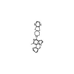 Cc1nc(N2CCC3(CC2)Cc2nccnc2C3)c2ccnn2c1-c1ccccc1F